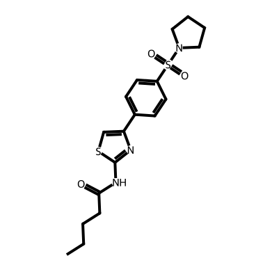 CCCCC(=O)Nc1nc(-c2ccc(S(=O)(=O)N3CCCC3)cc2)cs1